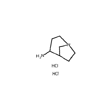 Cl.Cl.NC1CCN2CCC1C2